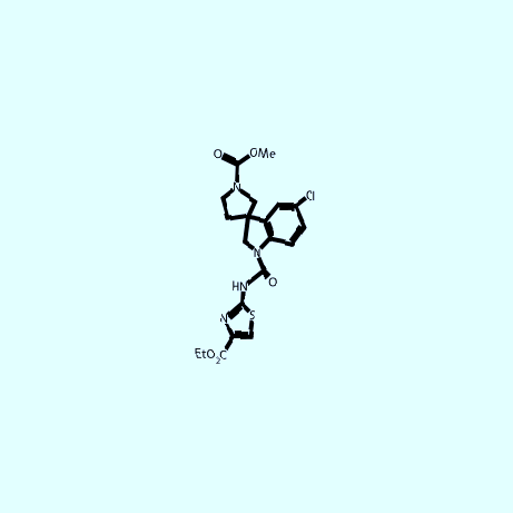 CCOC(=O)c1csc(NC(=O)N2CC3(CCN(C(=O)OC)C3)c3cc(Cl)ccc32)n1